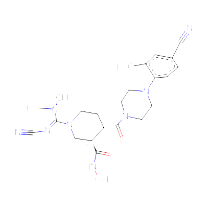 Cc1cc(C#N)ccc1N1CCN(C(=O)[C@H]2CCN(/C(=N/C#N)N(C)C)C[C@@H]2C(=O)NO)CC1